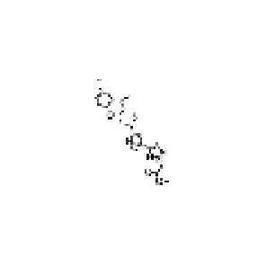 COc1ccc(F)cc1C(=O)C1CCN(c2cc(-c3nnn(CC(=O)O)n3)on2)CC1